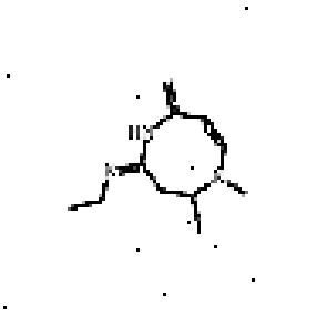 C=C1/C=C\N(C)C(I)C/C(=N\CC)N1